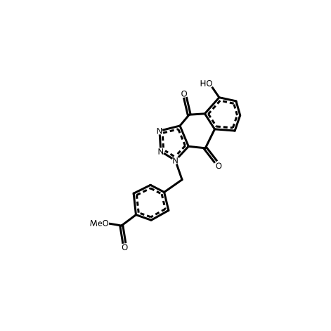 COC(=O)c1ccc(Cn2nnc3c2C(=O)c2cccc(O)c2C3=O)cc1